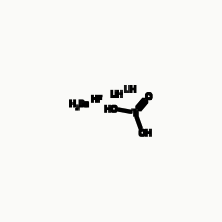 F.[BaH2].[LiH].[LiH].[O]=[Ti]([OH])[OH]